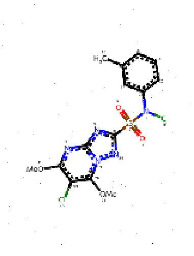 COc1nc2nc(S(=O)(=O)N(Cl)c3cccc(C)c3)nn2c(OC)c1Cl